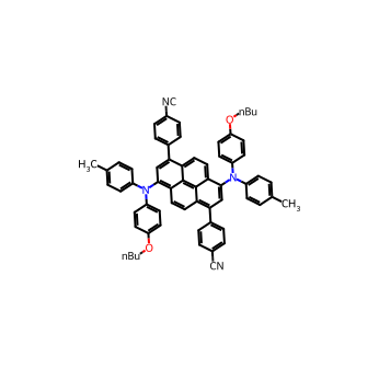 [C-]#[N+]c1ccc(-c2cc(N(c3ccc(C)cc3)c3ccc(OCCCC)cc3)c3ccc4c(-c5ccc(C#N)cc5)cc(N(c5ccc(C)cc5)c5ccc(OCCCC)cc5)c5ccc2c3c45)cc1